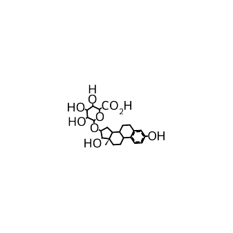 C[C@]12CCC3c4ccc(O)cc4CCC3C1CC(OC1OC(C(=O)O)C(O)C(O)C1O)C2O